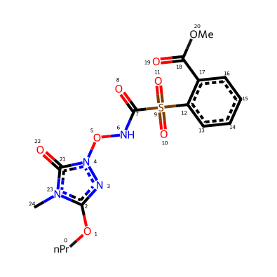 CCCOc1nn(ONC(=O)S(=O)(=O)c2ccccc2C(=O)OC)c(=O)n1C